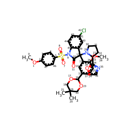 COc1ccc(S(=O)(=O)N2C(=O)C(c3cc(C4OCC(C)(C)CO4)ccc3OC)(N3CCCC3c3ncco3)c3cc(Cl)ccc32)cc1